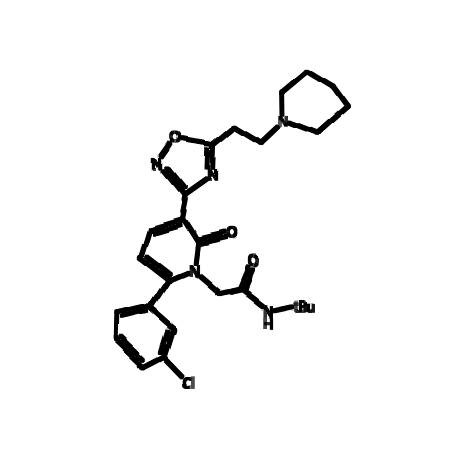 CC(C)(C)NC(=O)Cn1c(-c2cccc(Cl)c2)ccc(-c2noc(CCN3CCCCC3)n2)c1=O